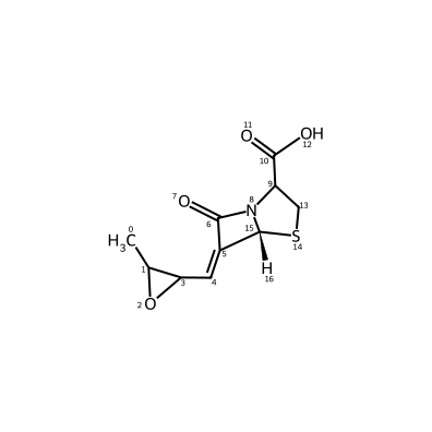 CC1OC1C=C1C(=O)N2C(C(=O)O)CS[C@H]12